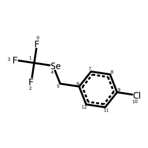 FC(F)(F)[Se]Cc1ccc(Cl)cc1